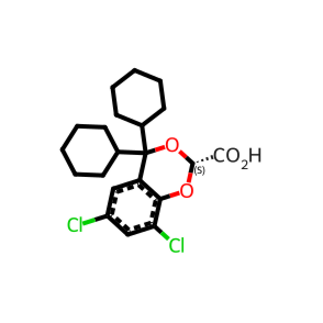 O=C(O)[C@@H]1Oc2c(Cl)cc(Cl)cc2C(C2CCCCC2)(C2CCCCC2)O1